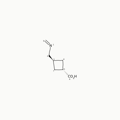 C=NC[C@H]1C[C@H](C(=O)O)C1